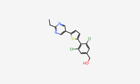 CCc1ncc(-c2ccc(-c3c(Cl)cc(CO)cc3Cl)s2)cn1